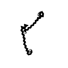 C(CCCCCC1CCCCO1)CCCCCC(CC1CC1)SC(CCCCCCCCCCCC1CCCCO1)CC1CC1